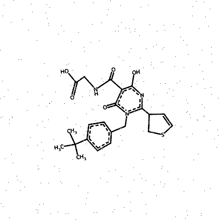 CC(C)(C)c1ccc(Cn2c(C3C=CSC3)nc(O)c(C(=O)NCC(=O)O)c2=O)cc1